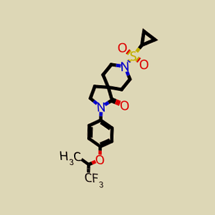 CC(Oc1ccc(N2CCC3(CCN(S(=O)(=O)C4CC4)CC3)C2=O)cc1)C(F)(F)F